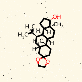 C=C(C)[C@@H]1C[C@H]2CC3(CC[C@]2(C)[C@H]2CC[C@]4(C)[C@@H](O)CC[C@H]4[C@H]12)OCCO3